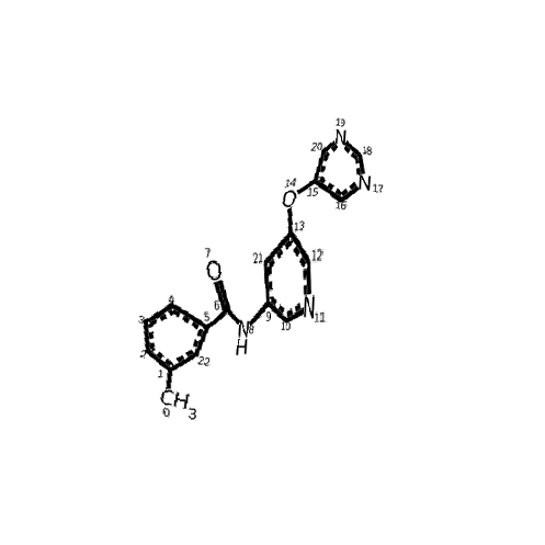 Cc1cccc(C(=O)Nc2cncc(Oc3cncnc3)c2)c1